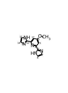 COc1cc(-c2ncc[nH]2)nc(-c2ncc[nH]2)c1